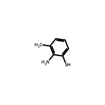 Cc1cccc(S)c1N